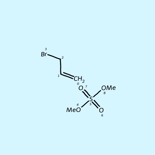 C=CCBr.COS(=O)(=O)OC